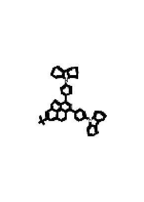 CC(C)(C)c1cc2ccc3c(-c4ccc(-n5c6ccccc6c6ccccc65)cc4)cc(-c4ccc(-n5c6ccccc6c6ccccc65)cc4)c4ccc(c1)c2c34